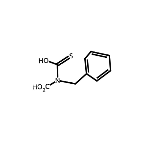 O=C(O)N(Cc1ccccc1)C(O)=S